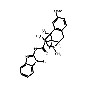 CCn1c(NC(=O)N(C)[C@H]2[C@H]3Cc4ccc(OC)cc4[C@@]2(C)CCN3C)nc2ccccc21